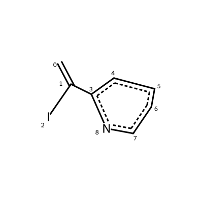 C=C(I)c1ccccn1